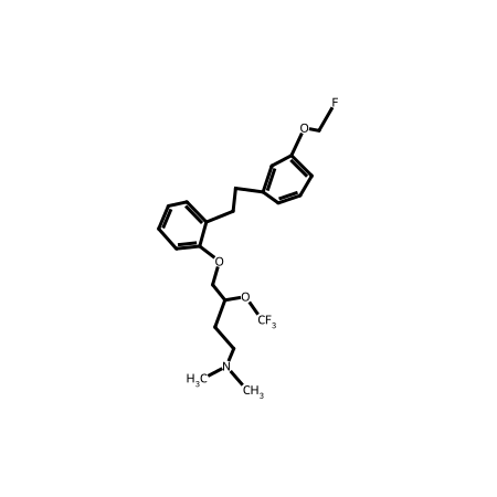 CN(C)CCC(COc1ccccc1CCc1cccc(OCF)c1)OC(F)(F)F